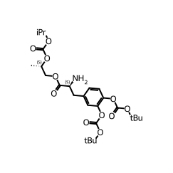 CC(C)OC(=O)O[C@@H](C)COC(=O)[C@@H](N)Cc1ccc(OC(=O)OC(C)(C)C)c(OC(=O)OC(C)(C)C)c1